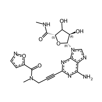 CNC(=O)[C@H]1O[C@@H](n2cnc3c(N)nc(C#CCN(C)C(=O)c4ccno4)nc32)[C@H](O)C1O